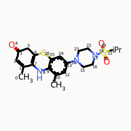 CC1=CC(=O)CC2=C1Nc1c(C)cc(N3CCN(S(=O)(=O)C(C)C)CC3)cc1S2